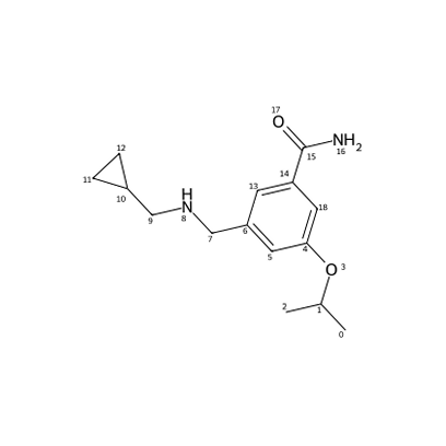 CC(C)Oc1cc(CNCC2CC2)cc(C(N)=O)c1